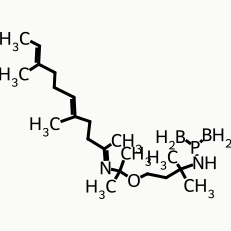 BP(B)NC(C)(C)CCOC(C)(C)/N=C(\C)CC/C(C)=C/CC/C(C)=C/C